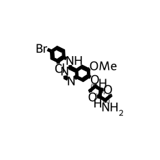 COc1cc2c(Nc3ccc(Br)cc3Cl)ncnc2cc1O[C@@H]1CO[C@@H]2[C@H]1OC[C@H]2N